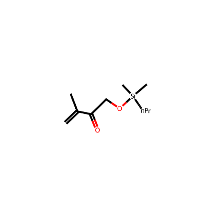 C=C(C)C(=O)CO[Si](C)(C)CCC